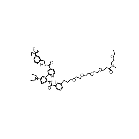 CCOCCN(C)C(=O)CCOCCOCCOCCOCCCc1cccc(C(=O)Nc2ccc(N(CC)CC)cc2-c2cc(C(=O)NCc3cccc(C(F)(F)F)c3)ccn2)c1